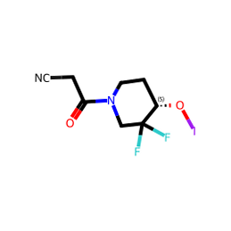 N#CCC(=O)N1CC[C@H](OI)C(F)(F)C1